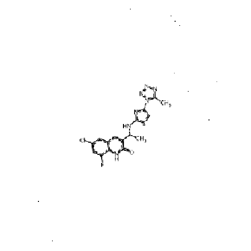 Cc1nnnn1-c1csc(N[C@@H](C)c2cc3cc(Cl)cc(F)c3[nH]c2=O)n1